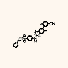 Cc1ccc(C#N)cc1-c1cc2nnc(Nc3ccc(S(=O)(=O)NCCN4CCCC4)cc3)nc2cc1C